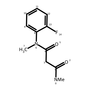 CNC(=O)CC(=O)N(C)c1ccccc1F